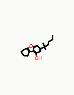 CCCCC(C)(C)c1cc(O)c2c3c(oc2c1)CCCC3